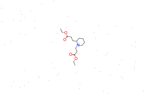 CCOC(=O)CCC1CCCCN1CCC(=O)OCC